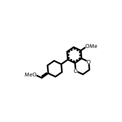 COC=C1CCC(c2ccc(OC)c3c2OCCO3)CC1